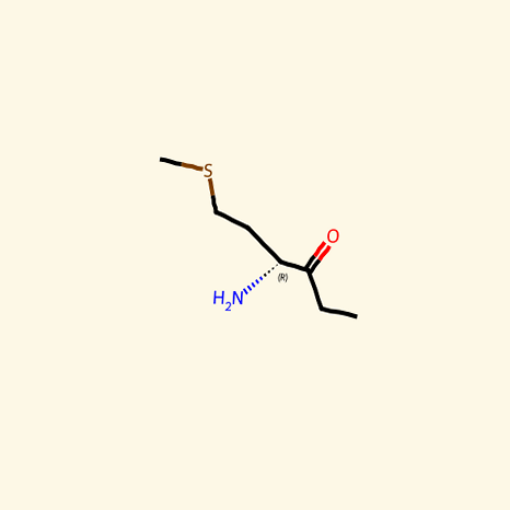 CCC(=O)[C@H](N)CCSC